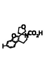 O=C(O)N1CCc2c(oc3cc(I)ccc23)[C@@]12CCOC2